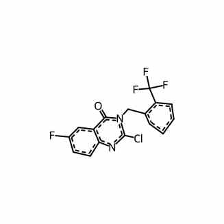 O=c1c2cc(F)ccc2nc(Cl)n1Cc1ccccc1C(F)(F)F